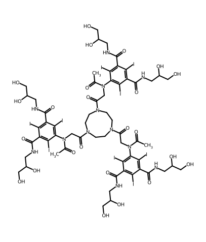 CC(=O)N(CC(=O)N1CCN(C(=O)CN(C(C)=O)c2c(I)c(C(=O)NCC(O)CO)c(I)c(C(=O)NCC(O)CO)c2I)CCN(C(=O)CN(C(C)=O)c2c(I)c(C(=O)NCC(O)CO)c(I)c(C(=O)NCC(O)CO)c2I)CC1)c1c(I)c(C(=O)NCC(O)CO)c(I)c(C(=O)NCC(O)CO)c1I